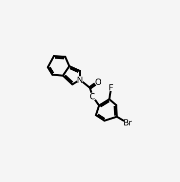 O=C(Cc1ccc(Br)cc1F)n1cc2ccccc2c1